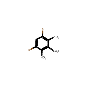 O=C(O)c1c([N+](=O)[O-])c(Br)cc(Br)c1[N+](=O)[O-]